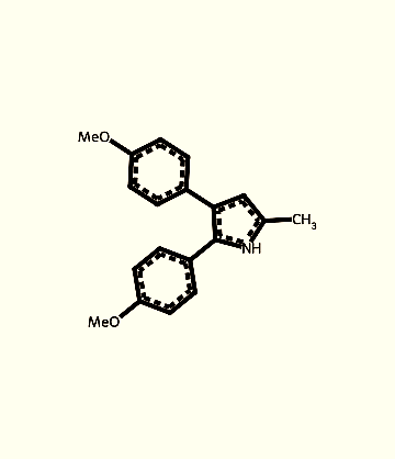 COc1ccc(-c2cc(C)[nH]c2-c2ccc(OC)cc2)cc1